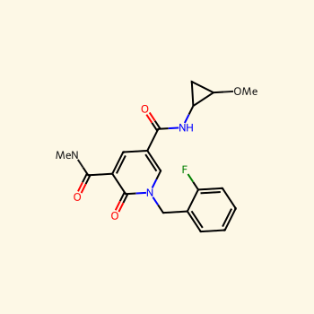 CNC(=O)c1cc(C(=O)NC2CC2OC)cn(Cc2ccccc2F)c1=O